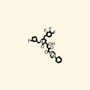 O=C(C=C(O)c1cc(Cc2ccc(F)c(F)c2F)cn(Cc2cccc(F)c2)c1=O)C(=O)N1CCN(c2ccccc2)CC1